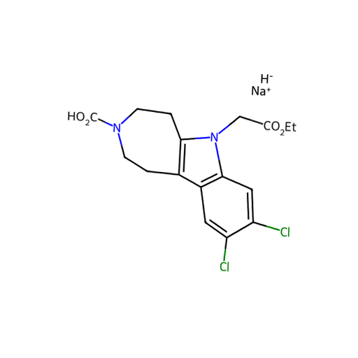 CCOC(=O)Cn1c2c(c3cc(Cl)c(Cl)cc31)CCN(C(=O)O)CC2.[H-].[Na+]